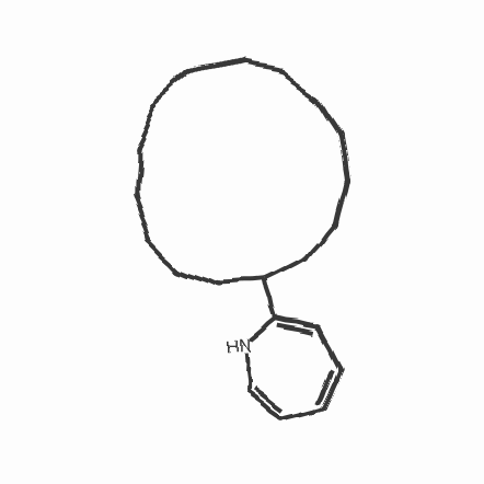 C1=CC=C(C2CCCCCCCCCCCCCC2)NC=C1